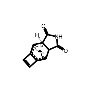 O=C1NC(=O)[C@@H]2c3ccc(c4c3C=C4)C12